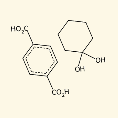 O=C(O)c1ccc(C(=O)O)cc1.OC1(O)CCCCC1